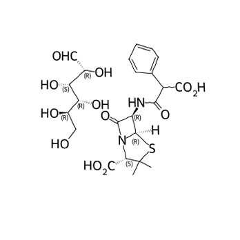 CC1(C)S[C@@H]2[C@H](NC(=O)C(C(=O)O)c3ccccc3)C(=O)N2[C@H]1C(=O)O.O=C[C@H](O)[C@@H](O)[C@H](O)[C@H](O)CO